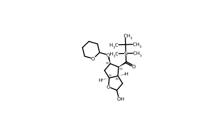 CC(C)(C)[Si](C)(C)C(=O)[C@H]1[C@H]2CC(O)O[C@H]2C[C@H]1OC1CCCCO1